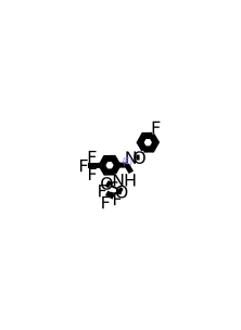 C/C(=N\Oc1ccc(F)cc1)c1ccc(C(F)(F)F)cc1NS(=O)(=O)C(F)(F)F